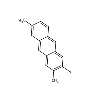 Cc1ccc2cc3cc(I)c(C)cc3cc2c1